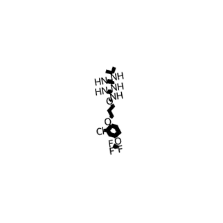 CC(C)NC(=N)NC(=N)NOCCCOc1ccc(OC(F)(F)F)cc1Cl